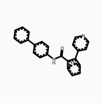 O=C(Nc1ccc(-c2ccccc2)cc1)c1c(-c2ccncc2)c2ccc1o2